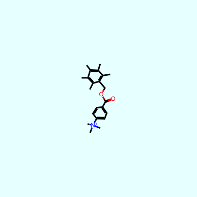 Cc1c(C)c(C)c(COC(=O)c2ccc([N+](C)(C)C)cc2)c(C)c1C